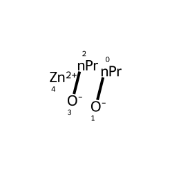 CCC[O-].CCC[O-].[Zn+2]